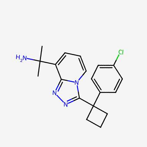 CC(C)(N)c1cccn2c(C3(c4ccc(Cl)cc4)CCC3)nnc12